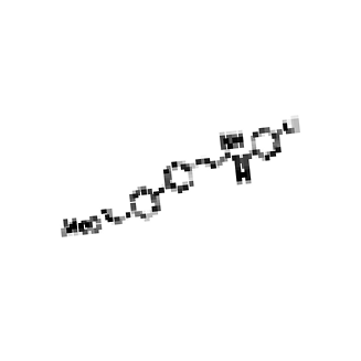 CO/N=C(\C)c1ccc(-c2ccc(/C=C/C(=N)Nc3ccc(Cl)cc3)cc2)cc1